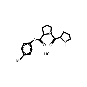 Cl.O=C(Nc1ccc(Br)cc1)C1CCCN1C(=O)C1CCCN1